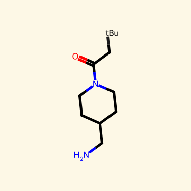 CC(C)(C)CC(=O)N1CCC(CN)CC1